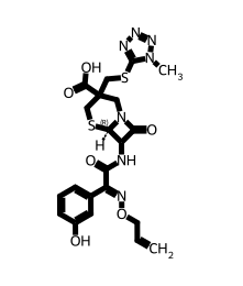 C=CCON=C(C(=O)NC1C(=O)N2CC(CSc3nnnn3C)(C(=O)O)CS[C@H]12)c1cccc(O)c1